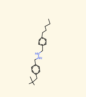 CCCCCc1ccc(CNNCc2ccc(CC(C)(C)C)cc2)cc1